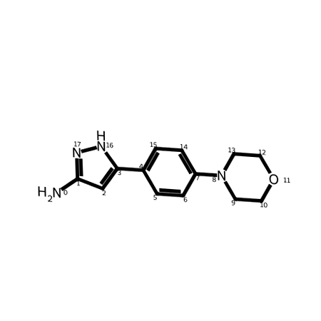 Nc1cc(-c2ccc(N3CCOCC3)cc2)[nH]n1